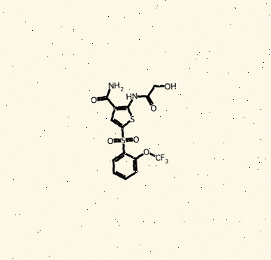 NC(=O)c1cc(S(=O)(=O)c2ccccc2OC(F)(F)F)sc1NC(=O)CO